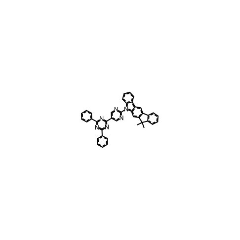 CC1(C)c2ccccc2-c2cc3c4ccccc4n(-c4ncc(-c5nc(-c6ccccc6)nc(-c6ccccc6)n5)cn4)c3cc21